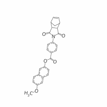 COc1ccc2cc(OC(=O)c3ccc(N4C(=O)C5C6C=CC(C6)C5C4=O)cc3)ccc2c1